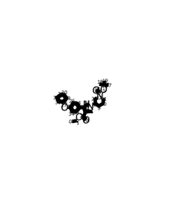 CCOC(=O)c1cn([C@@H]2CCCN(C(=O)OC(C)(C)C)C2)nc1-c1ccc(Oc2ccccc2)cc1